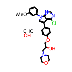 COc1cccc(-n2cc(-c3ccc(OCC(O)CN4CCOCC4)cc3)c3c(Cl)ncnc32)c1.O=CO